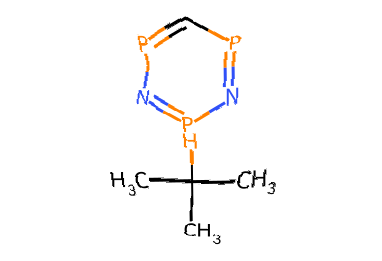 CC(C)(C)[PH]1=NP=CP=N1